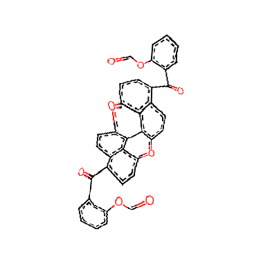 O=COc1ccccc1C(=O)c1ccc2oc3ccc4c(C(=O)c5ccccc5OC=O)ccc5oc6ccc1c2c6-c3c54